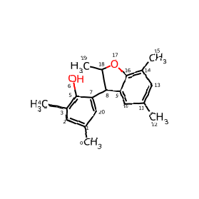 Cc1cc(C)c(O)c(C2c3cc(C)cc(C)c3OC2C)c1